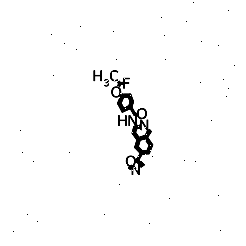 CC(F)Oc1ccc(C(=O)Nc2cc3cc(-c4cnco4)ccc3cn2)cc1